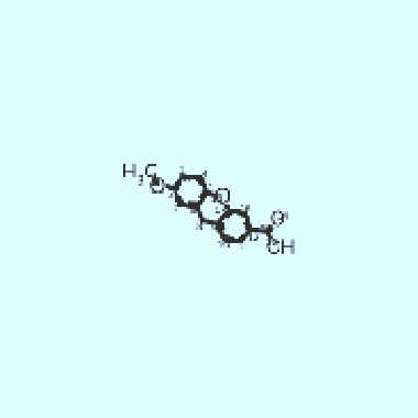 COc1ccc2c(c1)Cc1ccc(C(=O)O)cc1O2